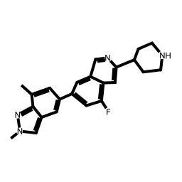 Cc1cc(-c2cc(F)c3cc(C4CCNCC4)ncc3c2)cc2cn(C)nc12